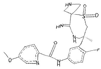 COc1ccc(C(=O)Nc2ccc(F)c([C@]3(C)CS(=O)(=O)C4(CNC4)C(=N)N3)c2)nc1